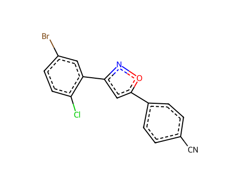 N#Cc1ccc(-c2cc(-c3cc(Br)ccc3Cl)no2)cc1